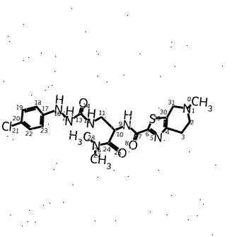 CN1CCc2nc(C(=O)NC(CNC(=O)NNc3ccc(Cl)cc3)C(=O)N(C)C)sc2C1